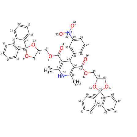 CC1=C(C(=O)OCC2COC(c3ccccc3)(c3ccccc3)O2)C(c2cccc([N+](=O)[O-])c2)C(C(=O)OCC2COC(c3ccccc3)(c3ccccc3)O2)=C(C)N1